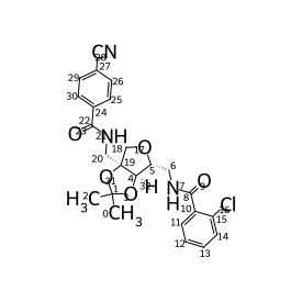 CC1(C)O[C@@H]2[C@@H](CNC(=O)c3ccccc3Cl)OC[C@]2(CNC(=O)c2ccc(C#N)cc2)O1